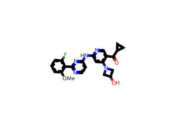 COc1cccc(F)c1-c1nccc(Nc2cc(N3CC(O)C3)c(C(=O)C3CC3)cn2)n1